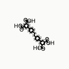 O=C(O)c1cc(C(=O)O)cc(-c2ccc(CCc3ccc(-c4cc(C(=O)O)cc(C(=O)O)c4)cc3)cc2)c1